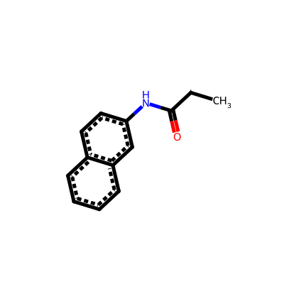 C[CH]C(=O)Nc1ccc2ccccc2c1